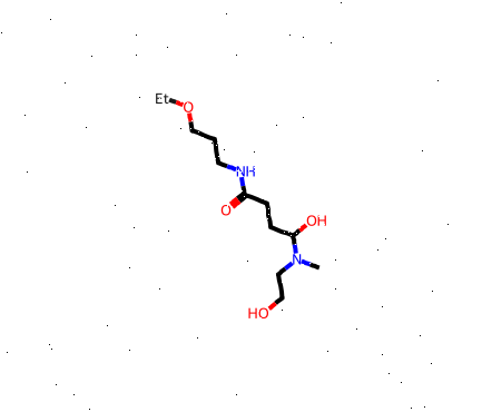 CCOCCCNC(=O)CCC(O)N(C)CCO